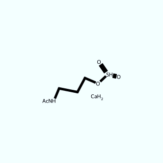 CC(=O)NCCCO[SH](=O)=O.[CaH2]